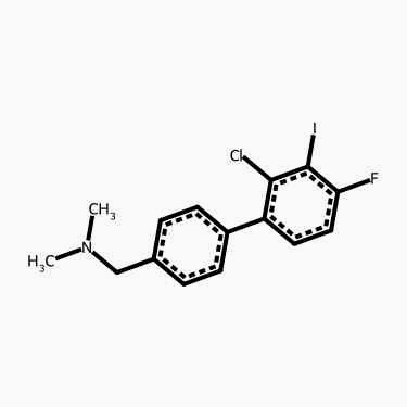 CN(C)Cc1ccc(-c2ccc(F)c(I)c2Cl)cc1